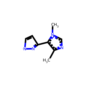 Cc1ncn(C)c1C1=N[N]C=C1